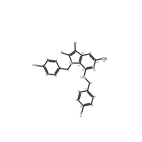 Cc1c(C)n(Cc2ccc(F)cc2)c2c(OCc3ccc(F)cc3)nc(C#N)cc12